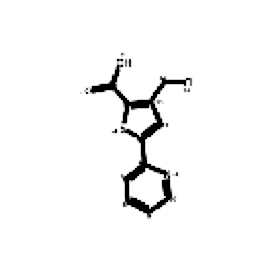 O=C(O)c1sc(-c2ccccn2)cc1CCl